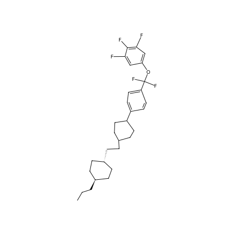 CCC[C@H]1CC[C@H](CCC2CCC(c3ccc(C(F)(F)Oc4cc(F)c(F)c(F)c4)cc3)CC2)CC1